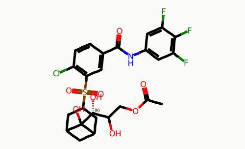 CC(=O)OCC(O)[C@@H](O)C1(O)C2CC1CC(S(=O)(=O)c1cc(C(=O)Nc3cc(F)c(F)c(F)c3)ccc1Cl)C2